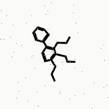 CCCc1ccc(-c2ccccc2)c(CCC)c1CCC